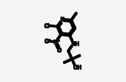 Cc1cc(NCC(C)(C)O)c([N+](=O)[O-])c(Cl)n1